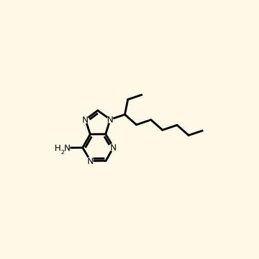 CCCCCCC(CC)n1cnc2c(N)ncnc21